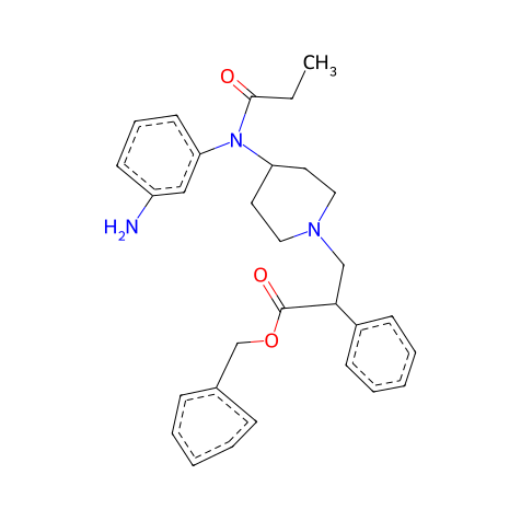 CCC(=O)N(c1cccc(N)c1)C1CCN(CC(C(=O)OCc2ccccc2)c2ccccc2)CC1